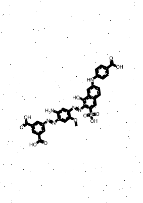 COc1cc(N=Nc2cc(C(=O)O)cc(C(=O)O)c2)c(N)cc1N=Nc1c(S(=O)(=O)O)cc2ccc(Nc3ccc(C(=O)O)cc3)cc2c1O